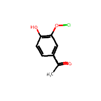 CC(=O)c1ccc(O)c(OCl)c1